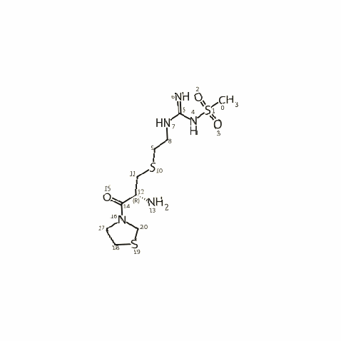 CS(=O)(=O)NC(=N)NCCSC[C@H](N)C(=O)N1CCSC1